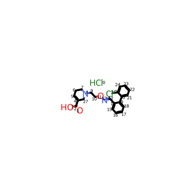 Cl.O=C(O)C1=CCCN(CCON=Cc2ccccc2-c2ccccc2Cl)C1